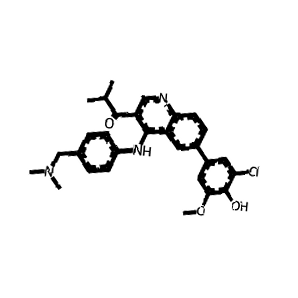 COc1cc(-c2ccc3ncc(C(=O)C(C)C)c(Nc4ccc(CN(C)C)cc4)c3c2)cc(Cl)c1O